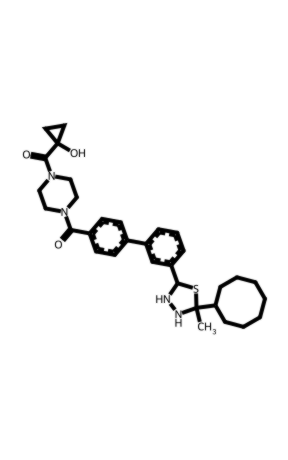 CC1(C2CCCCCCC2)NNC(c2cccc(-c3ccc(C(=O)N4CCN(C(=O)C5(O)CC5)CC4)cc3)c2)S1